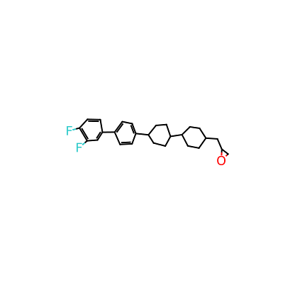 Fc1ccc(-c2ccc(C3CCC(C4CCC(CC5CO5)CC4)CC3)cc2)cc1F